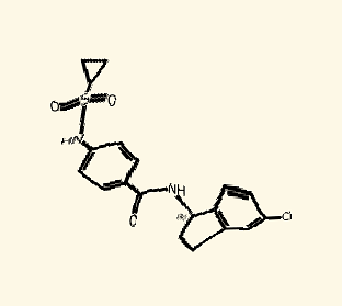 O=C(N[C@@H]1CCc2cc(Cl)ccc21)c1ccc(NS(=O)(=O)C2CC2)cc1